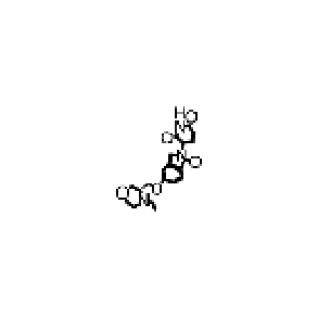 CCN1CCOC[C@H]1COc1ccc2c(c1)CN(C1CCC(=O)NC1=O)C2=O